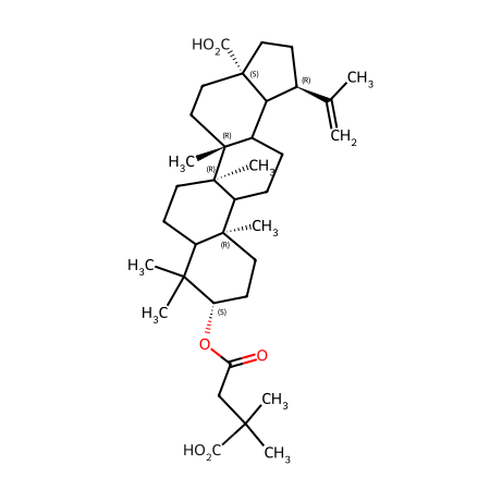 C=C(C)[C@@H]1CC[C@]2(C(=O)O)CC[C@]3(C)C(CCC4[C@@]5(C)CC[C@H](OC(=O)CC(C)(C)C(=O)O)C(C)(C)C5CC[C@]43C)C12